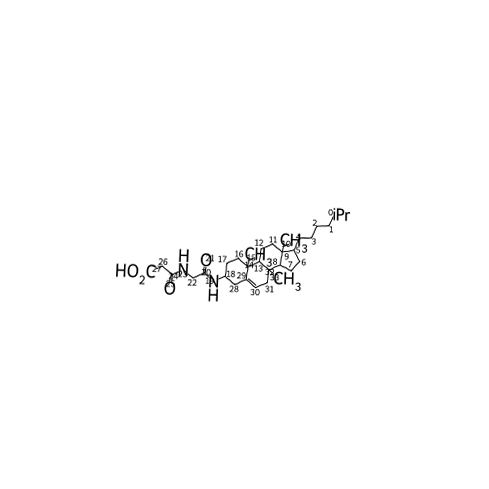 CC(C)CCCCC1CCC2C1(C)CCC1C3(C)CCC(NC(=O)CNC(=O)CC(=O)O)CC3=CCC12C